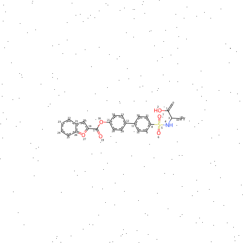 C=C(O)C(NS(=O)(=O)c1ccc(-c2ccc(OC(=O)c3cc4ccccc4o3)cc2)cc1)C(C)C